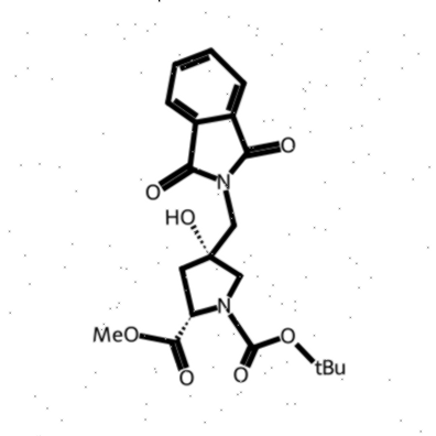 COC(=O)[C@@H]1C[C@@](O)(CN2C(=O)c3ccccc3C2=O)CN1C(=O)OC(C)(C)C